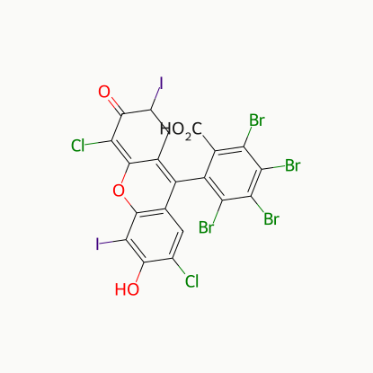 O=C(O)c1c(Br)c(Br)c(Br)c(Br)c1C1=C2CC(I)C(=O)C(Cl)=C2Oc2c1cc(Cl)c(O)c2I